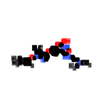 Cc1cn(COCC[Si](C)(C)C)c2nccc(Oc3ccc(C(CC(=O)NCCCN(C)C)NC(=O)O)cc3)c12